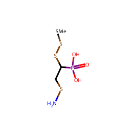 CSSSC(CSN)P(=O)(O)O